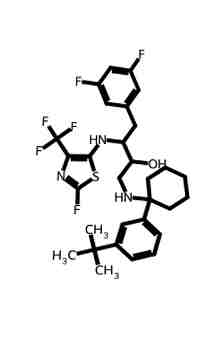 CC(C)(C)c1cccc(C2(NCC(O)C(Cc3cc(F)cc(F)c3)Nc3sc(F)nc3C(F)(F)F)CCCCC2)c1